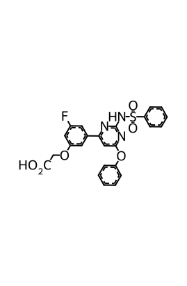 O=C(O)COc1cc(F)cc(-c2cc(Oc3ccccc3)nc(NS(=O)(=O)c3ccccc3)n2)c1